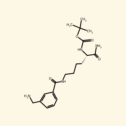 CC(C)(C)OC(=O)N[C@@H](CCCCNC(=O)c1cccc(CN)c1)C(N)=O